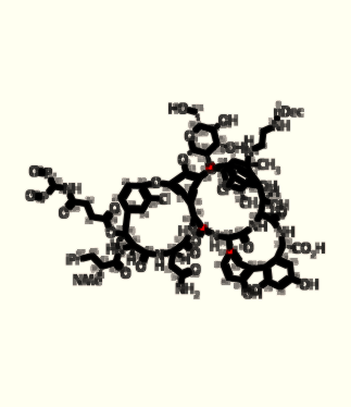 CCCCCCCCCCNCCN[C@@]1(C)C[C@H](O[C@H]2[C@H](Oc3c4cc5cc3Oc3ccc(cc3Cl)[C@@H](OC(=O)CCC(=O)NC(P=O)P=O)[C@@H](NC(=O)[C@@H](CC(C)C)NC)C(=O)N[C@@H](CC(N)=O)C(=O)N[C@H]5C(=O)N[C@H]3C(=O)N[C@H](C(=O)N[C@H](C(=O)O)c5cc(O)cc(O)c5-c5cc3ccc5O)[C@H](O)c3ccc(c(Cl)c3)O4)O[C@H](CO)[C@@H](O)[C@@H]2O)O[C@@H](C)[C@H]1O